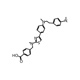 CN(C)c1ccc(CCN(C)c2ccc(-c3csc(N(C)Cc4ccc(C(=O)O)cc4)n3)cc2)cc1